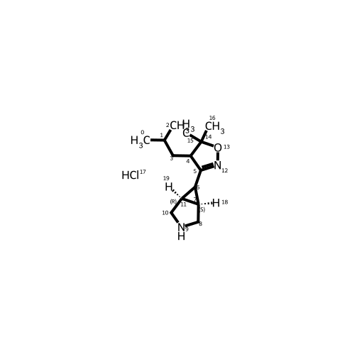 CC(C)CC1C(C2[C@H]3CNC[C@@H]23)=NOC1(C)C.Cl